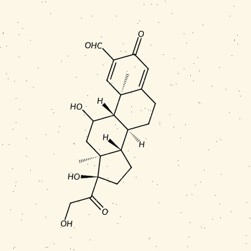 C[C@]12C=C(C=O)C(=O)C=C1CC[C@@H]1[C@@H]2C(O)C[C@@]2(C)[C@H]1CC[C@]2(O)C(=O)CO